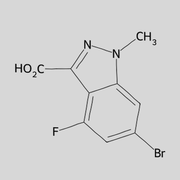 Cn1nc(C(=O)O)c2c(F)cc(Br)cc21